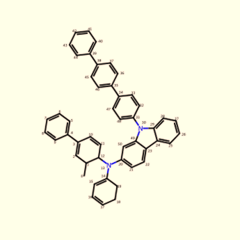 CC1C=C(c2ccccc2)C=CC1N(C1=CC=CCC1)c1ccc2c3ccccc3n(-c3ccc(-c4ccc(-c5ccccc5)cc4)cc3)c2c1